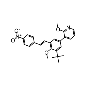 COc1ncccc1-c1cc(/C=C/c2ccc([N+](=O)[O-])cc2)c(OC)c(C(C)(C)C)c1